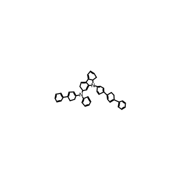 C1=CCC2C(=C1)C1=CCC(N(C3=CC=C(c4ccccc4)CC3)c3ccccc3)C=C1N2c1ccc(C2=CC=C(c3ccccc3)CC2)cc1